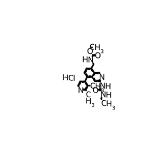 CCNC(=O)Nc1cc2c(-c3ccnc(C)c3C)ccc(CNC(=O)OC)c2cn1.Cl